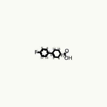 O=C(O)[C@@H]1CC=C(c2ccc(F)cc2)CC1